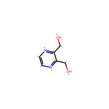 OCc1nccnc1CO